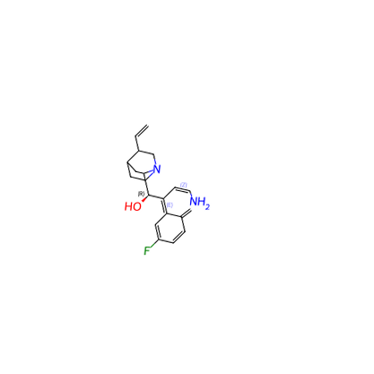 C=CC1CN2CCC1CC2[C@H](O)C(/C=C\N)=c1\cc(F)ccc1=C